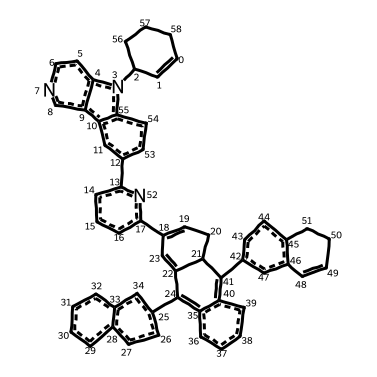 C1=CC(n2c3ccncc3c3cc(-c4cccc(C5=CCC6C(=C5)C(c5ccc7ccccc7c5)=c5ccccc5=C6c5ccc6c(c5)C=CCC6)n4)ccc32)CCC1